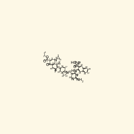 CCOC(=O)c1cn(C2CC2)c2c(F)c(-c3ccc4c(c3)CCN4Cc3cnc(N)nc3Nc3cc4ccccc4cc3S(=O)(=O)O)c(F)cc2c1=O